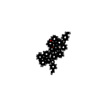 C=CC1=CC=C(Oc2ccc(C3(C4C(F)C=CCC4F)C4=C(C=CCC4)C4=C3CC(N(C3=CCCCC3)C3=CC=CC5c6cccc(N(C7C=CC8=C(C7)C(C7=CCC(OC9C=CC(C=C)CC9)C=C7)(C7C(F)=CC=CC7F)C7C=CC=CC87)C7CC=CCC7)c6OC35)C=C4)cc2)CC1